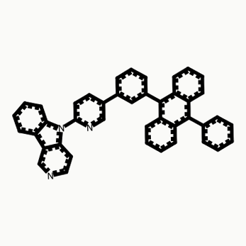 c1ccc(-c2c3ccccc3c(-c3cccc(-c4ccc(-n5c6ccccc6c6cnccc65)nc4)c3)c3ccccc23)cc1